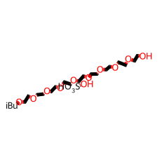 CCC(C)OCCOCCOCCOCCOCCOCCOCCOCCOCCO.O=S(=O)(O)O